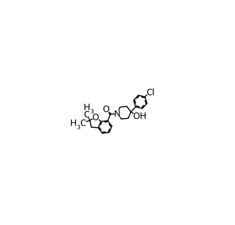 CC1(C)Cc2cccc(C(=O)N3CCC(O)(c4ccc(Cl)cc4)CC3)c2O1